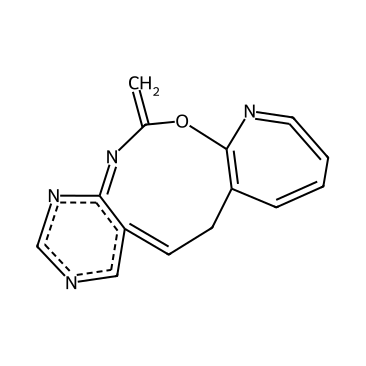 C=C1/N=c2/ncnc/c2=C/CC2=C(N=C=CC=C2)O1